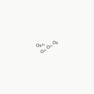 [O-2].[O-2].[Os+4].[Os]